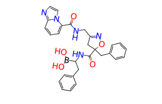 O=C(NCC1=NOC(Cc2ccccc2)(C(=O)NC(Cc2ccccc2)B(O)O)C1)c1cccc2nccn12